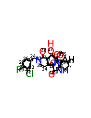 COC(=O)[C@]12C[C@H]1CC[C@@]21NC(=O)c2c3c(c(O)c(=O)n21)C(=O)N(Cc1ccc(F)c(Cl)c1)CC3